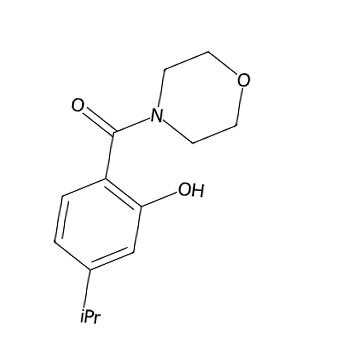 CC(C)c1ccc(C(=O)N2CCOCC2)c(O)c1